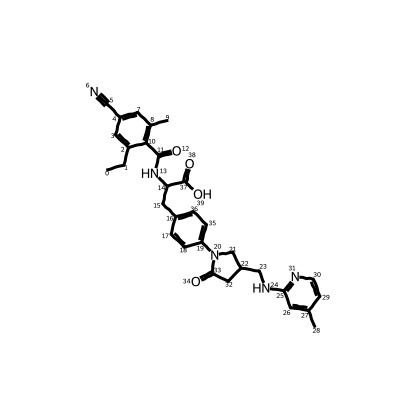 CCc1cc(C#N)cc(C)c1C(=O)NC(Cc1ccc(N2CC(CNc3cc(C)ccn3)CC2=O)cc1)C(=O)O